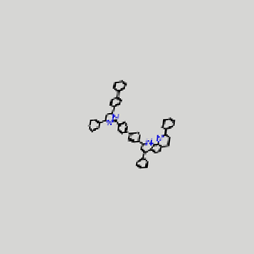 c1ccc(-c2ccc(-c3cc(-c4ccccc4)nc(-c4ccc(-c5ccc(-c6cc(-c7ccccc7)c7ccc8ccc(-c9ccccc9)nc8c7n6)cc5)cc4)n3)cc2)cc1